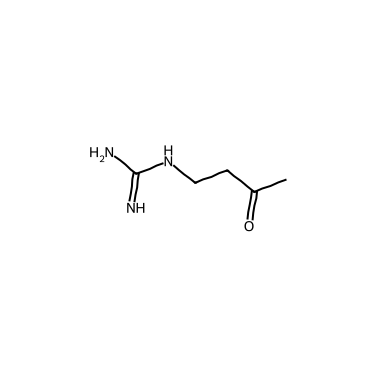 CC(=O)CCNC(=N)N